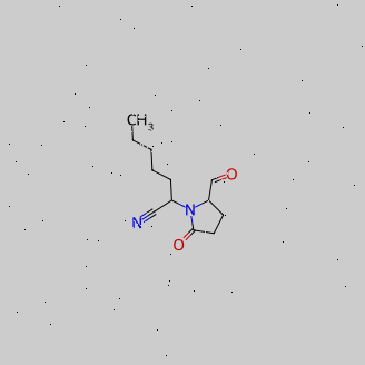 CCCCCC(C#N)N1C(=O)CCC1C=O